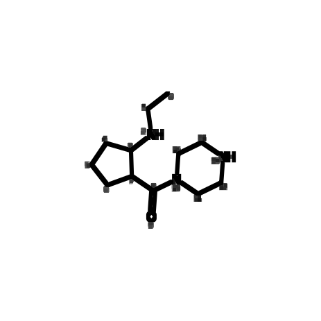 CCNC1CCCC1C(=O)N1CCNCC1